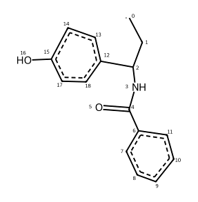 [CH2]CC(NC(=O)c1ccccc1)c1ccc(O)cc1